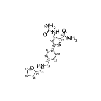 NC(=O)Nc1cc(-c2ccc(CNCC3CCCO3)cc2)sc1C(N)=O